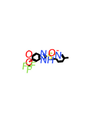 COc1cc2nc([S+]([O-])Cc3ccc(C)cn3)[nH]c2cc1OC(F)(F)F